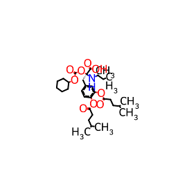 CCC(C)N[C@@](Cc1ccc(OC(=O)CCC(C)C)c(OC(=O)CCC(C)C)c1)(OC(=O)OC1CCCCC1)C(=O)O